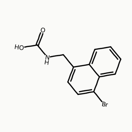 O=C(O)NCc1ccc(Br)c2ccccc12